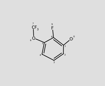 [O]c1cccc(OC(F)(F)F)c1F